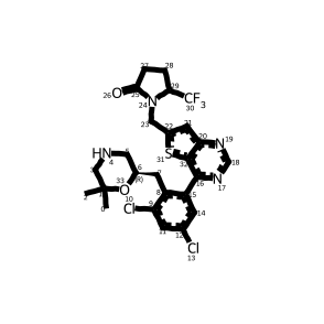 CC1(C)CNC[C@@H](Cc2c(Cl)cc(Cl)cc2-c2ncnc3cc(CN4C(=O)CCC4C(F)(F)F)sc23)O1